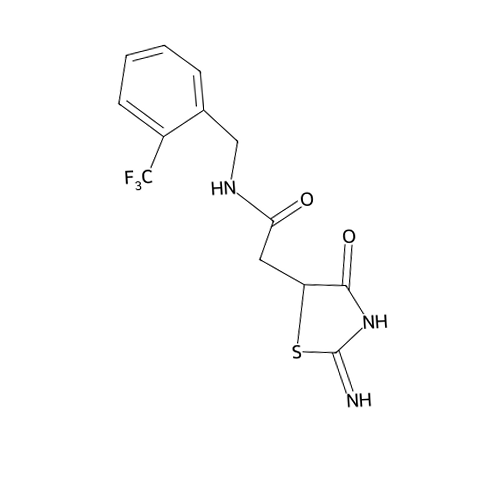 N=C1NC(=O)C(CC(=O)NCc2ccccc2C(F)(F)F)S1